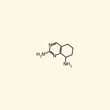 Nc1ncc2c(n1)C(N)CCC2